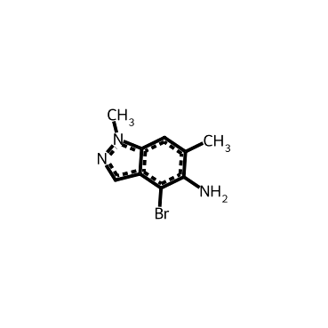 Cc1cc2c(cnn2C)c(Br)c1N